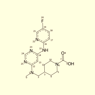 CN(CC1CCN(C(=O)O)CC1)c1cc(Nc2ccc(F)cn2)ncn1